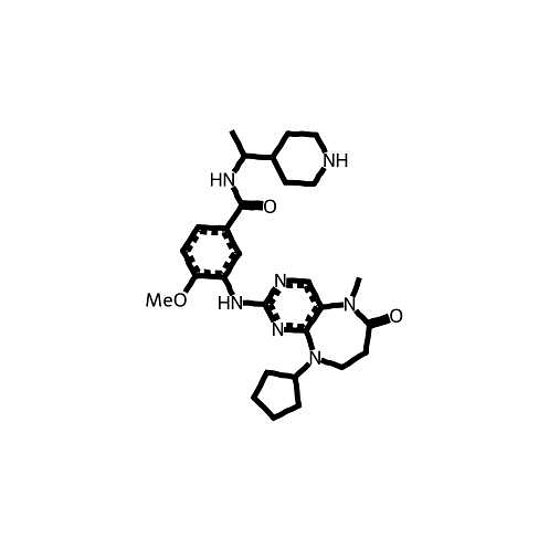 COc1ccc(C(=O)NC(C)C2CCNCC2)cc1Nc1ncc2c(n1)N(C1CCCC1)CCC(=O)N2C